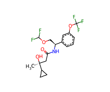 C[C@](O)(CC(=O)N[C@@H](COC(F)F)c1cccc(OC(F)(F)F)c1)C1CC1